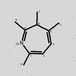 CC1=CC=C(C)C(C)C(C)=N1